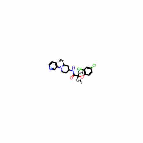 CCCC1CC(NC(=O)C(C)(C)Oc2ccc(Cl)cc2Cl)CCN1c1cccnc1